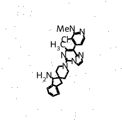 CNc1nccc(-c2c(C)nc(N3CCC4(CC3)Cc3ccccc3C4N)n3ccnc23)c1Cl